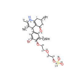 CCCC1CC(=O)C2=C(C1)NC(C)=C(C#N)C2c1cc(Br)c(OCCOCCOS(C)(=O)=O)c(OC)c1